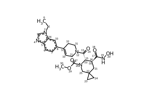 CCn1cnc2ccc(C3=CCN(C(=O)[C@@H]4[C@@H](C(=O)NO)CC5(CC5)CN4C(=O)OC)CC3)cc21